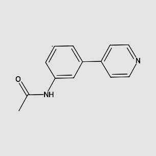 CC(=O)Nc1c[c]cc(-c2ccncc2)c1